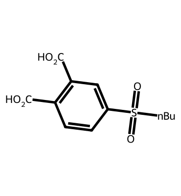 CCCCS(=O)(=O)c1ccc(C(=O)O)c(C(=O)O)c1